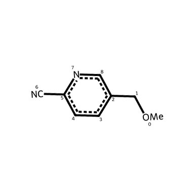 [CH2]OCc1ccc(C#N)nc1